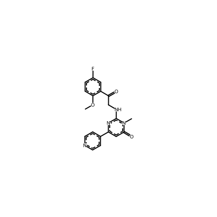 COc1ccc(F)cc1C(=O)CNc1nc(-c2ccncc2)cc(=O)n1C